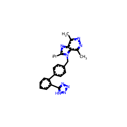 Cc1nnc(C)c2c1nc(C(C)C)n2Cc1ccc(-c2ccccc2-c2nnn[nH]2)cc1